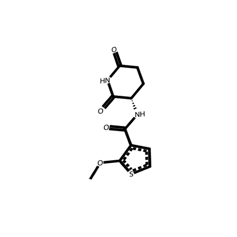 COc1sccc1C(=O)N[C@H]1CCC(=O)NC1=O